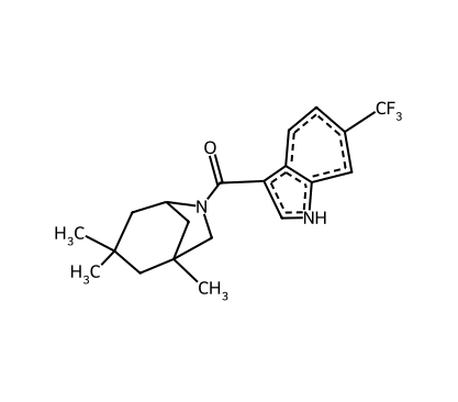 CC1(C)CC2CC(C)(CN2C(=O)c2c[nH]c3cc(C(F)(F)F)ccc23)C1